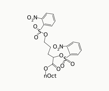 CCCCCCCCOC(=O)C(CCCOS(=O)(=O)c1ccccc1[N+](=O)[O-])OS(=O)(=O)c1ccccc1[N+](=O)[O-]